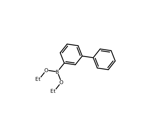 CCOB(OCC)c1cccc(-c2ccccc2)c1